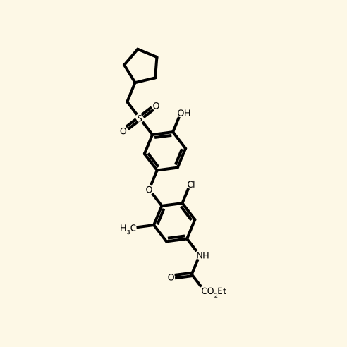 CCOC(=O)C(=O)Nc1cc(C)c(Oc2ccc(O)c(S(=O)(=O)CC3CCCC3)c2)c(Cl)c1